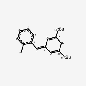 Cc1ccccc1C=C1C=C(C(C)(C)C)CC(C(C)(C)C)=C1